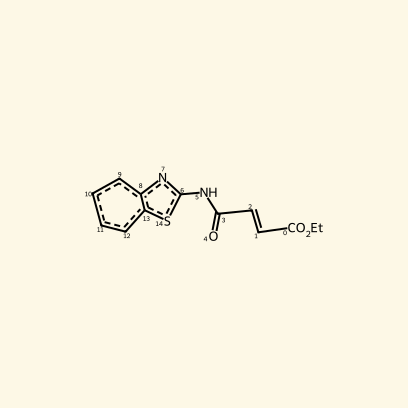 CCOC(=O)/C=C/C(=O)Nc1nc2ccccc2s1